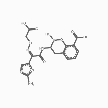 Nc1nc(C(=NOCC(=O)O)C(=O)NC2Cc3cccc(C(=O)O)c3OB2O)cs1